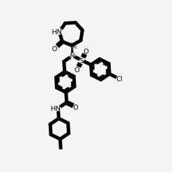 CC1CCC(NC(=O)c2ccc(CN([C@@H]3CCCCNC3=O)S(=O)(=O)c3ccc(Cl)cc3)cc2)CC1